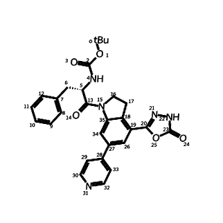 CC(C)(C)OC(=O)N[C@@H](Cc1ccccc1)C(=O)N1CCc2c(-c3n[nH]c(=O)o3)cc(-c3ccncc3)cc21